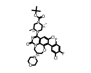 C[C@@H]1CN(c2nc(=O)n3c4c(c(-c5cc(Cl)c(F)cc5F)c(Cl)cc24)OC[C@H](N2CCOCC2)C3)[C@@H](C)CN1C(=O)OC(C)(C)C